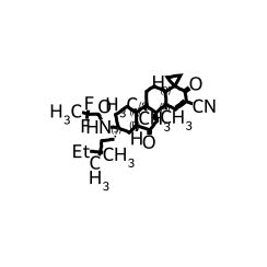 CCC(C)(C)CC[C@]1(NC(=O)C(C)(F)F)CC[C@]2(C)[C@@H](C1)C(=O)C=C1[C@@]3(C)C=C(C#N)C(=O)C4(CC4)[C@@H]3CC[C@]12C